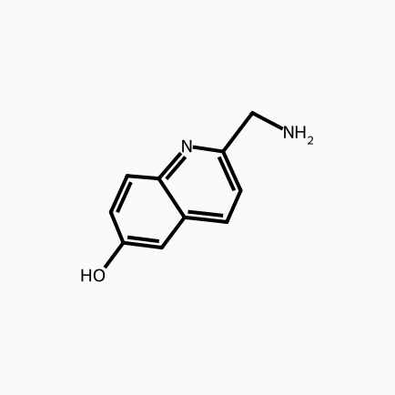 NCc1ccc2cc(O)ccc2n1